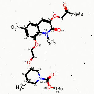 CNC(=O)COc1cc2cc([N+](=O)[O-])cc(OCCO[C@H]3C[C@@H](C)CN(C(=O)OC(C)(C)C)C3)c2n(C)c1=O